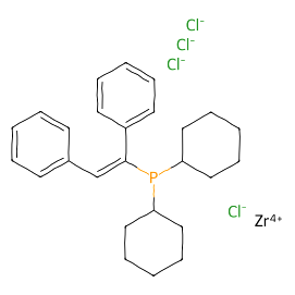 C(=C(c1ccccc1)P(C1CCCCC1)C1CCCCC1)c1ccccc1.[Cl-].[Cl-].[Cl-].[Cl-].[Zr+4]